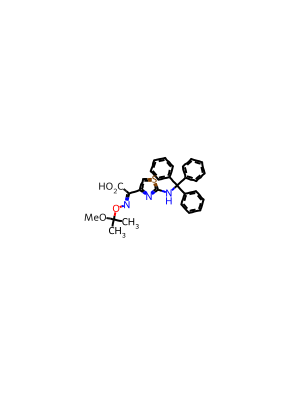 COC(C)(C)ON=C(C(=O)O)c1csc(NC(c2ccccc2)(c2ccccc2)c2ccccc2)n1